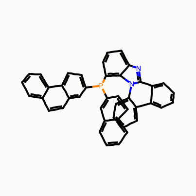 c1ccc2cc(P(c3ccc4c(ccc5ccccc54)c3)c3cccc4nc5c6ccccc6c6ccccc6n5c34)ccc2c1